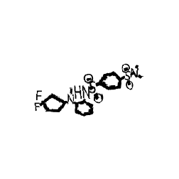 CN(c1ccccc1NS(=O)(=O)c1ccc(S(=O)(=O)N(C)C)cc1)C1CCC(F)(F)C1